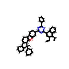 C=Cc1cc(-c2nc(-c3ccccc3)nc(-c3ccc4c(c3)oc3c5c(ccc34)-c3ccccc3C5(C)c3ccccc3)n2)c2ccccc2c1C=C